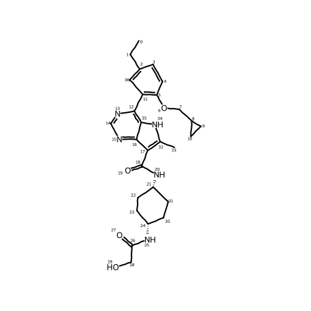 CCc1ccc(OCC2CC2)c(-c2ncnc3c(C(=O)N[C@H]4CC[C@@H](NC(=O)CO)CC4)c(C)[nH]c23)c1